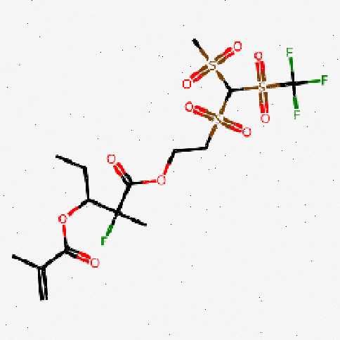 C=C(C)C(=O)OC(CC)C(C)(F)C(=O)OCCS(=O)(=O)C(S(C)(=O)=O)S(=O)(=O)C(F)(F)F